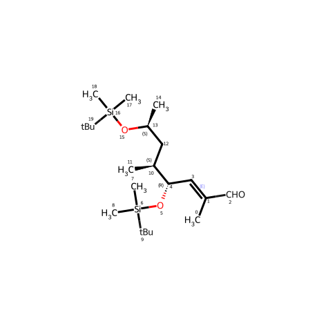 C/C(C=O)=C\[C@H](O[Si](C)(C)C(C)(C)C)[C@@H](C)C[C@H](C)O[Si](C)(C)C(C)(C)C